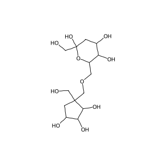 OCC1(O)CC(O)C(O)C(COCC2(CO)CC(O)C(O)C2O)O1